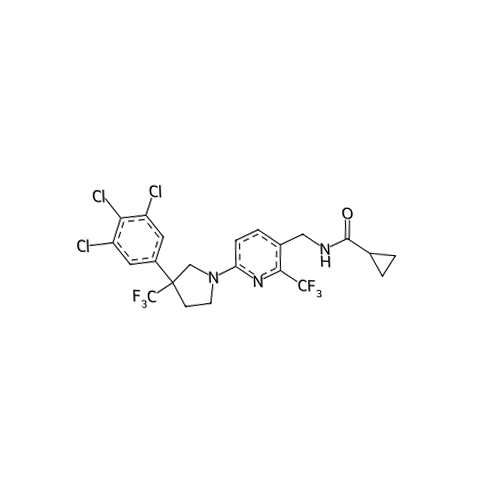 O=C(NCc1ccc(N2CCC(c3cc(Cl)c(Cl)c(Cl)c3)(C(F)(F)F)C2)nc1C(F)(F)F)C1CC1